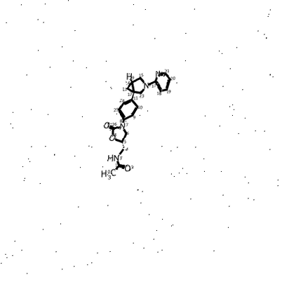 CC(=O)NC[C@H]1CN(c2ccc([C@@]34C[C@@H]3CN(c3ccccn3)C4)cc2)C(=O)O1